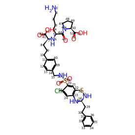 NCCCCC(N[C@@H](CCCc1ccc(CNS(=O)(=O)c2cc3c(cc2Cl)N[C@H](CCc2ccccc2)NS3)cc1)C(=O)O)C(=O)N1CCC[C@H]1C(=O)O